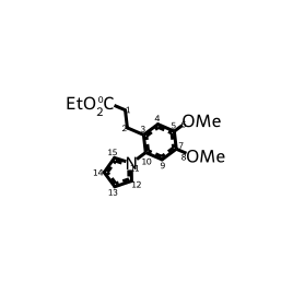 CCOC(=O)CCc1cc(OC)c(OC)cc1-n1cccc1